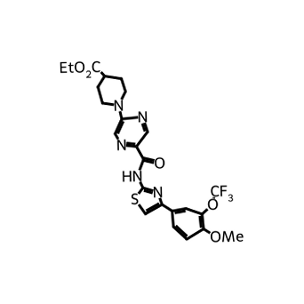 CCOC(=O)C1CCN(c2cnc(C(=O)Nc3nc(-c4ccc(OC)c(OC(F)(F)F)c4)cs3)cn2)CC1